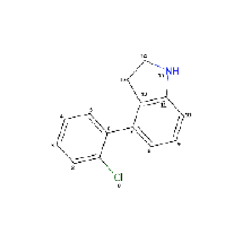 Clc1ccccc1-c1cccc2c1CCN2